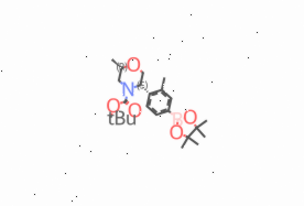 Cc1cc(B2OC(C)(C)C(C)(C)O2)ccc1[C@H]1CO[C@H](C)CN1C(=O)OC(C)(C)C